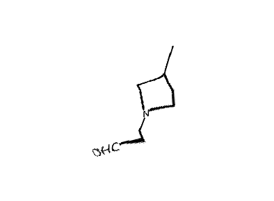 CC1CN(CC=O)C1